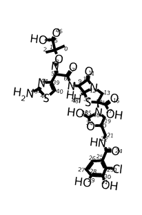 CC(C)(O/N=C(\C(=O)NC1C(=O)N2C[C@@](C(=O)O)(N3CC(CNC(=O)c4ccc(O)c(O)c4Cl)OC3O)S[C@H]12)c1csc(N)n1)C(=O)O